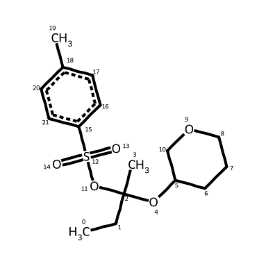 CCC(C)(OC1CCCOC1)OS(=O)(=O)c1ccc(C)cc1